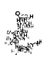 CCC(C)C(C(CC(=O)N1CCC[C@H]1C(OC)C(C)C(=O)NC(Cc1ccccc1)C(=O)O)OC)N(C)C(=O)C(NC(=O)C(C(C)C)N(C)C(=O)CCC[Si](C)(C)O[Si](C)(C)CSc1ncc(CN=[N+]=[N-])cn1)C(C)C